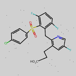 O=C(O)CCc1cc(F)cnc1Cc1c(F)ccc(F)c1S(=O)(=O)c1ccc(Cl)cc1